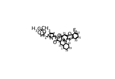 CC1(C)OC[C@@H](Cn2ccc(NC(=O)C(CC3CCCCC3)n3ncc(Oc4c(F)cccc4F)cc3=O)n2)O1